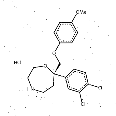 COc1ccc(OC[C@@]2(c3ccc(Cl)c(Cl)c3)CCNCCO2)cc1.Cl